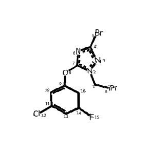 CC(C)Cn1nc(Br)nc1OC1=CC(Cl)=CC(F)C1